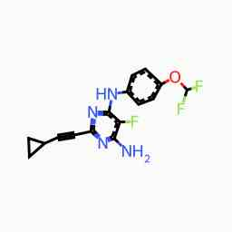 Nc1nc(C#CC2CC2)nc(Nc2ccc(OC(F)F)cc2)c1F